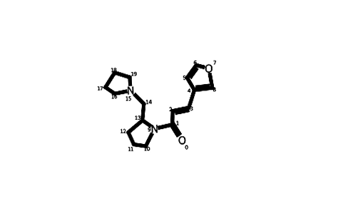 O=C(C=Cc1ccoc1)N1CCCC1CN1CCCC1